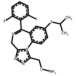 CC(C)Sc1ccc2c(c1)C(c1c(F)cccc1F)=NCc1nnc(CON)n1-2